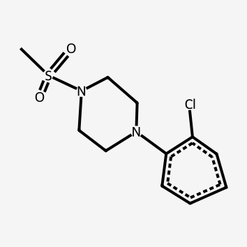 CS(=O)(=O)N1CCN(c2ccccc2Cl)CC1